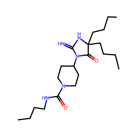 CCCCNC(=O)N1CCC(N2C(=N)NC(CCCC)(CCCC)C2=O)CC1